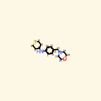 c1cc(NC2CCSCC2)ccc1CN1CCOCC1